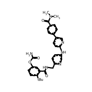 CN(C)C(=O)c1ccc(-c2ccc(Nc3ccc(CNC(=O)c4cc(OC(N)=O)ccc4C(C)(C)C)nc3)nc2)cc1